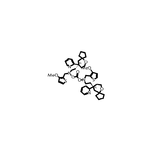 COc1ccsc1CN(CC[C@@]1(c2ccccn2)CCOC2(CCCC2)C1)OC(=O)ON(CC[C@@]1(c2ccccn2)CCOC2(CCCC2)C1)Cc1sccc1OC